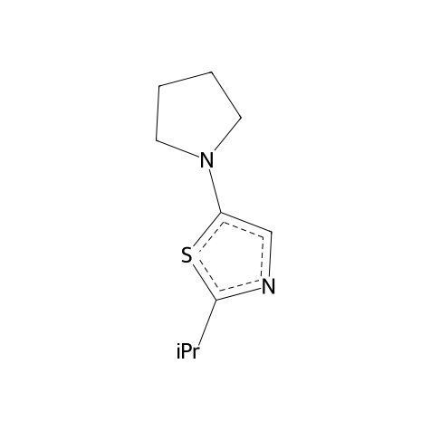 CC(C)c1ncc(N2CCCC2)s1